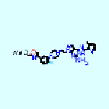 COCc1nc(-c2ccc(F)c(N3CCN(CCn4ncc5c4nc(N)n4nc(-c6ncccc6C)nc54)CC3)c2)co1